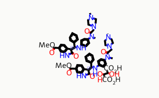 COC(=O)c1ccc2c(c1)NC(=O)/C2=C(\Nc1ccc(N(C)C(=O)CN2CCN(C)CC2)cc1)c1ccccc1.COC(=O)c1ccc2c(c1)NC(=O)/C2=C(\Nc1ccc(N(C)C(=O)CN2CCN(C)CC2)cc1)c1ccccc1.O=C(O)C(O)C(O)C(=O)O